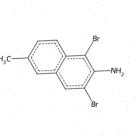 Cc1ccc2c(Br)c(N)c(Br)cc2c1